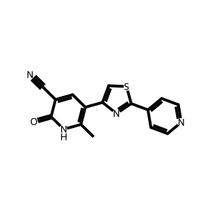 Cc1[nH]c(=O)c(C#N)cc1-c1csc(-c2ccncc2)n1